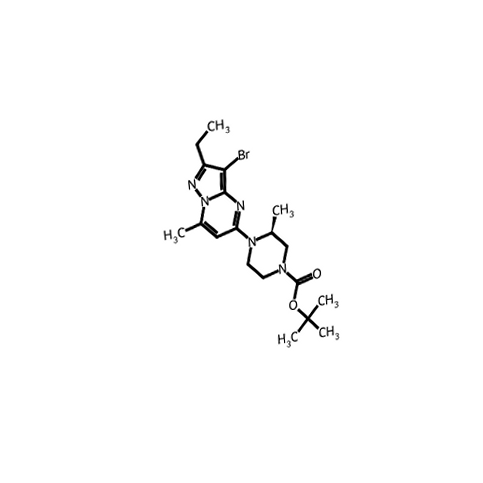 CCc1nn2c(C)cc(N3CCN(C(=O)OC(C)(C)C)C[C@@H]3C)nc2c1Br